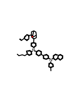 C=Cc1ccc(C23CC4CC(C2)CC(c2ccc(N(c5ccc(CCCC)cc5)c5ccc(-c6ccc(N(c7ccc(C)cc7)c7ccc8ccccc8c7)cc6)cc5)cc2)(C4)C3)cc1